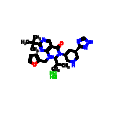 CC(C)CN(C(=O)c1cnc(C(C)(C)C)nc1NCc1ccco1)[C@@H]1CNC[C@H](c2nc[nH]n2)C1.Cl.Cl